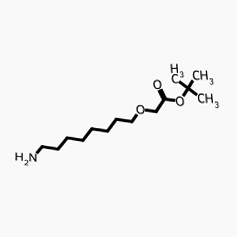 CC(C)(C)OC(=O)COCCCCCCCCN